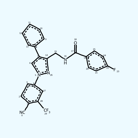 N#Cc1ccc(-n2cc(-c3ccccc3)c(CNC(=O)c3ccc(F)cc3)n2)cc1C(F)(F)F